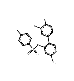 Cc1ccc(S(=O)(=O)Oc2cc(C(F)(F)F)nnc2-c2ccc(F)c(F)c2)cc1